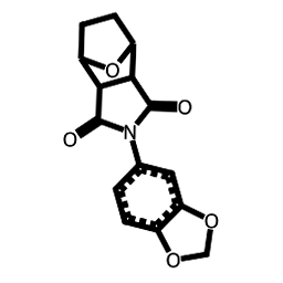 O=C1C2C3CCC(O3)C2C(=O)N1c1ccc2c(c1)OCO2